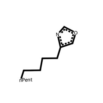 CCCCCCCCCc1cocn1